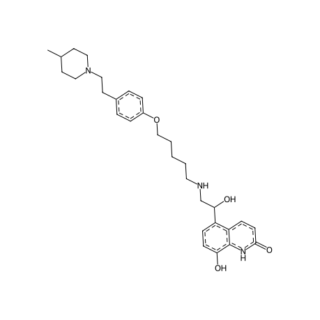 CC1CCN(CCc2ccc(OCCCCCNCC(O)c3ccc(O)c4[nH]c(=O)ccc34)cc2)CC1